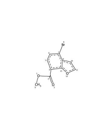 COC(=O)c1ccc(Br)c2ccoc12